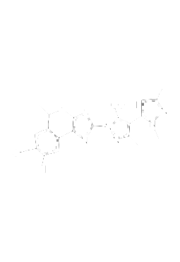 Cc1cc(-c2c(C)nn(-c3nc4c(s3)SC(C)c3cc(Cl)c(Cl)cc3-4)c2C(=O)O)n(C)n1